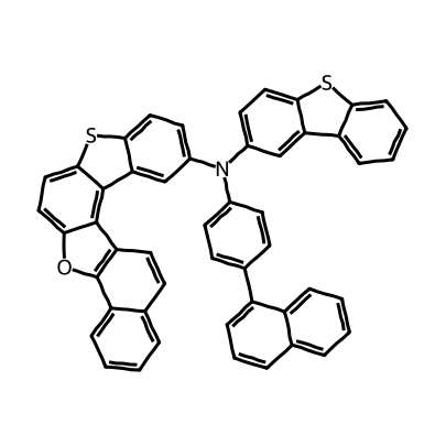 c1ccc2c(-c3ccc(N(c4ccc5sc6ccccc6c5c4)c4ccc5sc6ccc7oc8c9ccccc9ccc8c7c6c5c4)cc3)cccc2c1